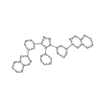 c1ccc(-n2c(-c3cccc(-c4cc5ccccc5cn4)c3)nnc2-c2cccc(-c3cc4ccccc4cn3)c2)cc1